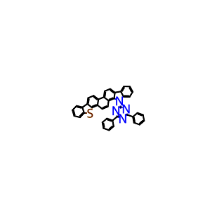 c1ccc(-c2nc(-c3ccccc3)nc(-n3c4ccccc4c4ccc5c6ccc7c8ccccc8sc7c6ccc5c43)n2)cc1